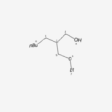 CCCCC[C](CO)COCC